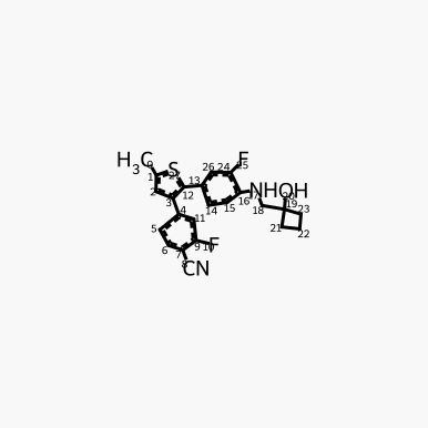 Cc1cc(-c2ccc(C#N)c(F)c2)c(-c2ccc(NCC3(O)CCC3)c(F)c2)s1